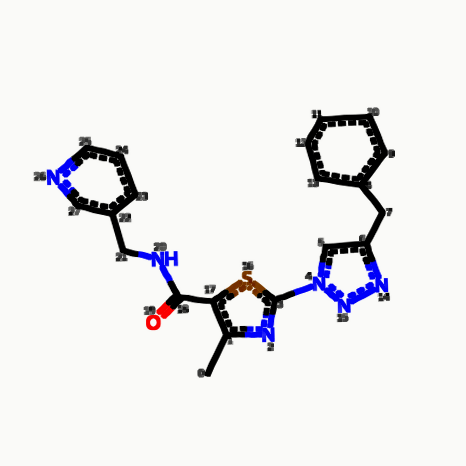 Cc1nc(-n2cc(Cc3ccccc3)nn2)sc1C(=O)NCc1cccnc1